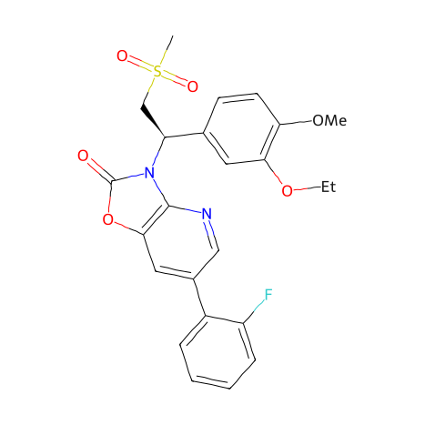 CCOc1cc([C@H](CS(C)(=O)=O)n2c(=O)oc3cc(-c4ccccc4F)cnc32)ccc1OC